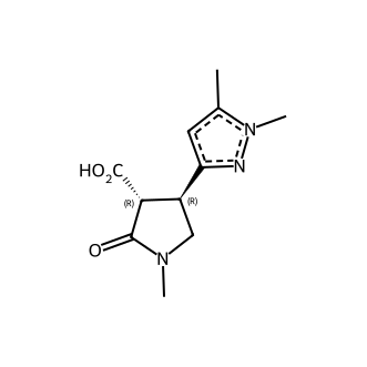 Cc1cc([C@H]2CN(C)C(=O)[C@@H]2C(=O)O)nn1C